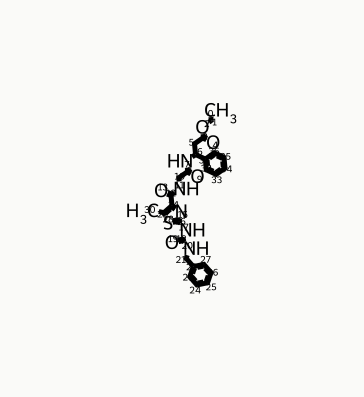 CCOC(=O)CC(NC(=O)CNC(=O)c1nc(NC(=O)NCc2ccccc2)sc1C)c1ccccc1